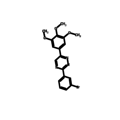 COc1cc(-c2cnc(-c3cccc(Br)c3)nn2)cc(OC)c1OC